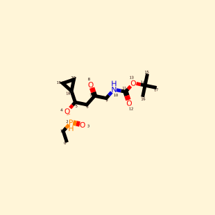 CC[PH](=O)OC(CC(=O)CNC(=O)OC(C)(C)C)C1CC1